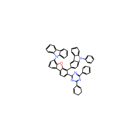 C1=CC(c2nc(-c3ccccc3)nc(-c3ccc4c(oc5c(-n6c7ccccc7c7ccccc76)cccc54)c3-c3ccc4c(c3)c3ccccc3n4-c3ccccc3)n2)=CCC1